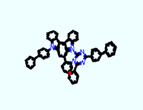 c1ccc(-c2ccc(-c3nc(-c4ccccc4)nc(-n4c5ccccc5c5c6c7ccccc7n(-c7ccc(-c8ccccc8)cc7)c6cc(-c6ccccc6)c54)n3)cc2)cc1